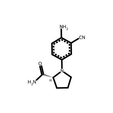 N#Cc1cc(N2CCC[C@@H]2C(N)=O)ccc1N